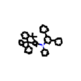 CC1(C)c2ccccc2C2(c3ccccc3-c3ccccc32)c2ccc(N(c3ccccc3)c3cc(-c4ccccc4)cc(-c4ccccc4)c3)cc21